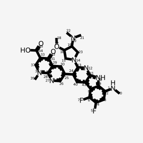 CNc1cc(F)c(F)c2c1[nH]c1nc(N3CC(OC)C(N(C)C)C3)c(-c3cnc4c(c3)c(=O)c(C(=O)O)cn4C)cc12